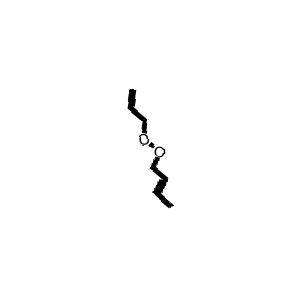 C=CCOOC/C=C/C